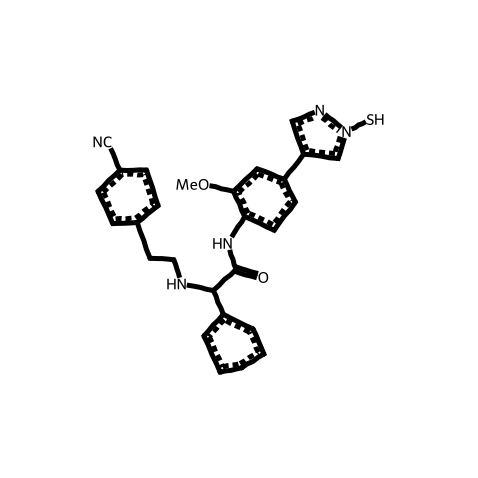 COc1cc(-c2cnn(S)c2)ccc1NC(=O)C(NCCc1ccc(C#N)cc1)c1ccccc1